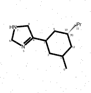 CC1CC(C2=N[C]NC2)C[C@H](C(C)C)C1